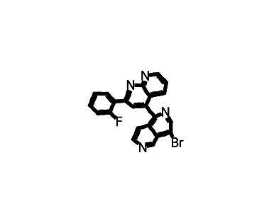 Fc1ccccc1-c1cc(-c2ncc(Br)c3cnccc23)c2cccnc2n1